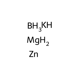 B.[KH].[MgH2].[Zn]